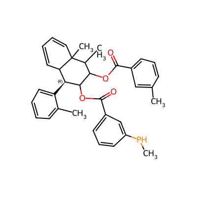 CPc1cccc(C(=O)OC2C(OC(=O)c3cccc(C)c3)C(C)C3(C)C=CC=CC3[C@@H]2c2ccccc2C)c1